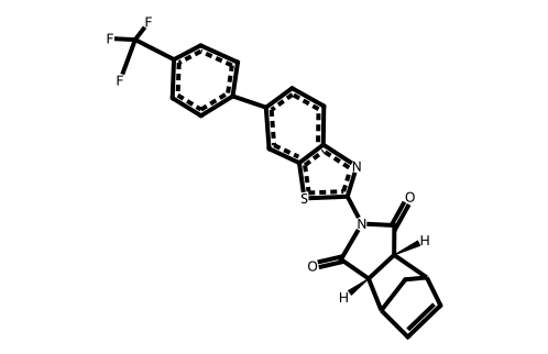 O=C1[C@@H]2C3C=CC(C3)[C@@H]2C(=O)N1c1nc2ccc(-c3ccc(C(F)(F)F)cc3)cc2s1